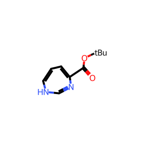 CC(C)(C)OC(=O)C1=CC=CNC=N1